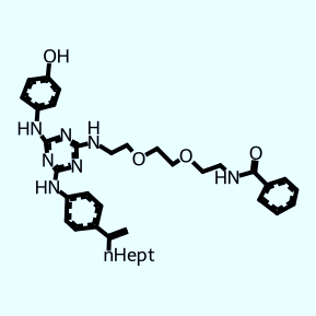 C=C(CCCCCCC)c1ccc(Nc2nc(NCCOCCOCCNC(=O)c3ccccc3)nc(Nc3ccc(O)cc3)n2)cc1